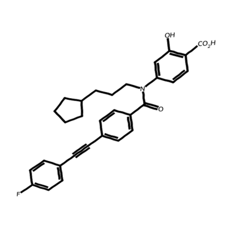 O=C(O)c1ccc(N(CCCC2CCCC2)C(=O)c2ccc(C#Cc3ccc(F)cc3)cc2)cc1O